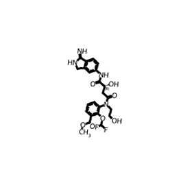 COC(=O)c1cccc(N(CCO)C(=O)C[C@@H](O)C(=O)Nc2ccc3c(c2)CNC3=N)c1OC(F)F